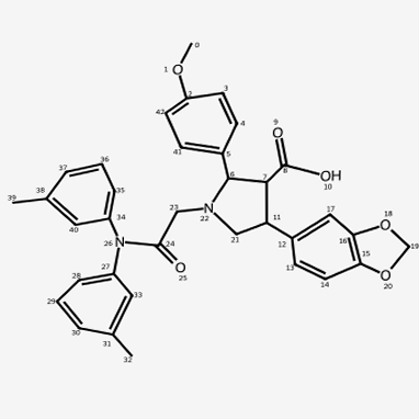 COc1ccc(C2C(C(=O)O)C(c3ccc4c(c3)OCO4)CN2CC(=O)N(c2cccc(C)c2)c2cccc(C)c2)cc1